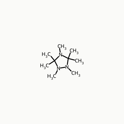 CN1N(C)C(C)(C)N(C)C1(C)C